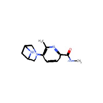 CNC(=O)c1ccc(N2CC3CC(C2)N3)c(C)n1